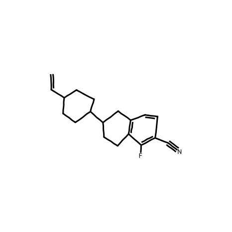 C=CC1CCC(C2CCc3c(ccc(C#N)c3F)C2)CC1